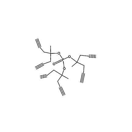 C#CCC(C)(CC#C)OP(=O)(OC(C)(CC#C)CC#C)OC(C)(CC#C)CC#C